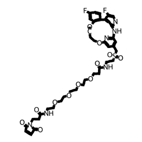 O=C(CCOCCOCCOCCOCCNC(=O)CCN1C(=O)C=CC1=O)NCCS(=O)(=O)Cc1cc2nc(c1)OCCCOc1cc(F)ccc1-c1cc(ncc1F)N2